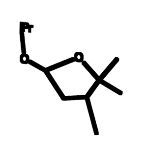 CC(C)OC1CC(C)C(C)(C)O1